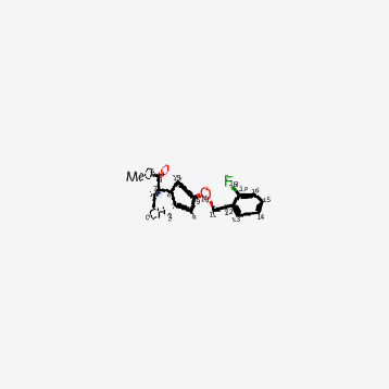 C/C=C(/C(=O)OC)C1C=CC(OCc2ccccc2F)=C1